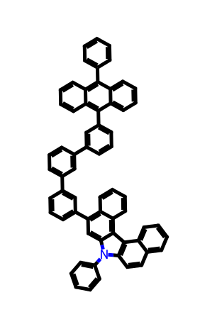 c1ccc(-c2c3ccccc3c(-c3cccc(-c4cccc(-c5cccc(-c6cc7c(c8ccccc68)c6c8ccccc8ccc6n7-c6ccccc6)c5)c4)c3)c3ccccc23)cc1